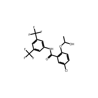 CC(O)Oc1ccc(Cl)cc1C(=O)Nc1cc(C(F)(F)F)cc(C(F)(F)F)c1